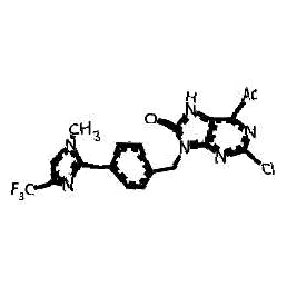 CC(=O)c1nc(Cl)nc2c1[nH]c(=O)n2Cc1ccc(-c2nc(C(F)(F)F)cn2C)cc1